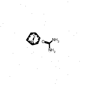 NC(N)=O.c1cc2ccc1NS2